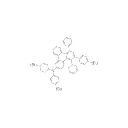 CC(C)(C)c1ccc(-c2cc(-c3ccccc3)c3c4ccccc4c4cc(N(c5ccc(C(C)(C)C)cc5)c5ccc(C(C)(C)C)cc5)ccc4c3c2-c2ccccc2)cc1